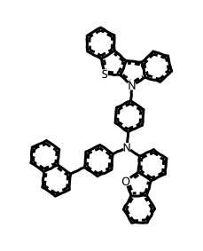 c1ccc2c(-c3ccc(N(c4ccc(-n5c6ccccc6c6c7ccccc7sc65)cc4)c4cccc5c4oc4ccccc45)cc3)cccc2c1